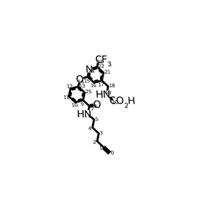 C#CCCCCNC(=O)c1cccc(Oc2cc(CNC(=O)O)cc(C(F)(F)F)n2)c1